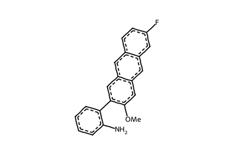 COc1cc2cc3cc(F)ccc3cc2cc1-c1ccccc1N